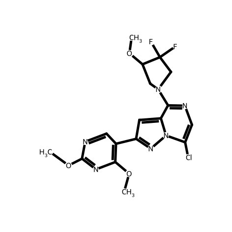 COc1ncc(-c2cc3c(N4CC(OC)C(F)(F)C4)ncc(Cl)n3n2)c(OC)n1